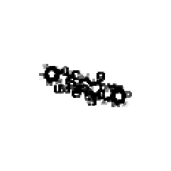 COC(=O)C(CC(OC(=S)Oc1ccccc1)P(=O)(OC(C)(C)C)OC(C)(C)C)NC(=O)OCc1ccccc1